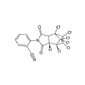 N#Cc1ccccc1N1C(=O)C2[C@@H](C1=O)[C@@]1(Cl)C(Cl)=C(Cl)C2(Cl)C1(Cl)Cl